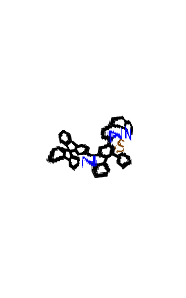 c1ccc2c(c1)-c1ccccc1C21c2ccccc2-c2ccc(-c3nc4ccccc4c4c3cc(-c3ccc5ccc6cccnc6c5n3)c3sc5ccccc5c34)cc21